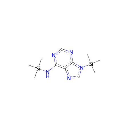 C[Si](C)(C)Nc1ncnc2c1ncn2[Si](C)(C)C